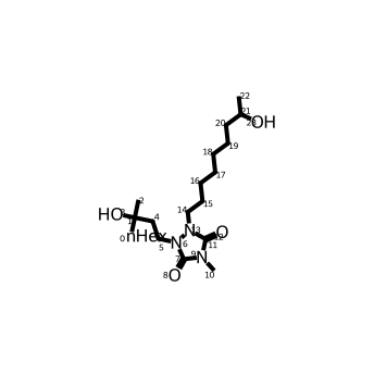 CCCCCCC(C)(O)CCn1c(=O)n(C)c(=O)n1CCCCCCCC(C)O